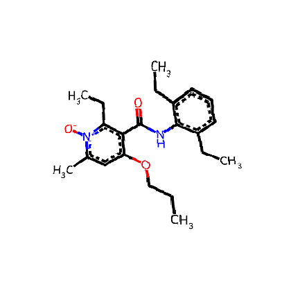 CCCOc1cc(C)[n+]([O-])c(CC)c1C(=O)Nc1c(CC)cccc1CC